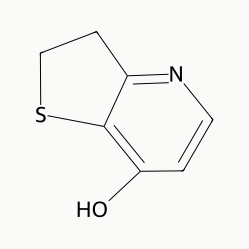 Oc1ccnc2c1SCC2